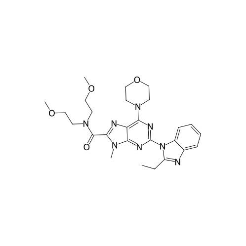 CCc1nc2ccccc2n1-c1nc(N2CCOCC2)c2nc(C(=O)N(CCOC)CCOC)n(C)c2n1